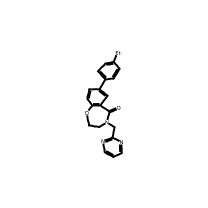 CCc1ccc(-c2ccc3c(c2)C(=O)N(Cc2ncccn2)CCO3)cc1